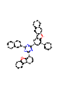 c1ccc(-c2cc(-c3nc(-c4ccc5ccccc5c4)nc(-c4cccc5c4oc4ccccc45)n3)cc3c2oc2cc4ccccc4cc23)cc1